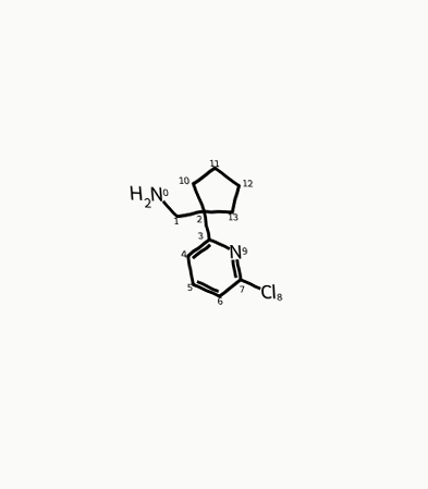 NCC1(c2cccc(Cl)n2)CCCC1